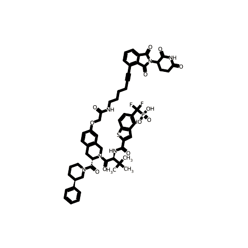 CC(C)(C)[C@H](NC(=O)c1cc2cc(C(F)(F)P(=O)(O)O)ccc2s1)C(=O)N1Cc2cc(OCC(=O)NCCCCC#Cc3cccc4c3C(=O)N(C3CCC(=O)NC3=O)C4=O)ccc2C[C@H]1C(=O)N1CCC[C@H](c2ccccc2)C1